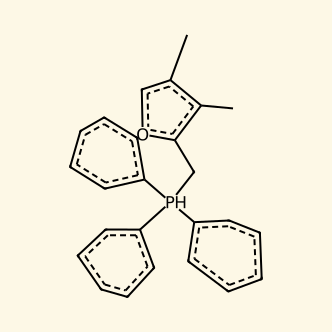 Cc1coc(C[PH](c2ccccc2)(c2ccccc2)c2ccccc2)c1C